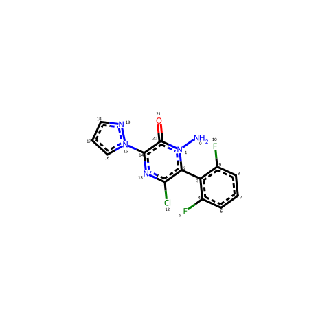 Nn1c(-c2c(F)cccc2F)c(Cl)nc(-n2cccn2)c1=O